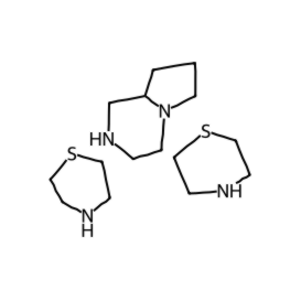 C1CC2CNCCN2C1.C1CSCCN1.C1CSCCN1